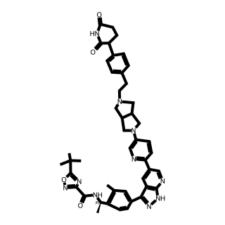 Cc1cc(-c2n[nH]c3ncc(-c4ccc(N5CC6CN(CCc7ccc(C8CCC(=O)NC8=O)cc7)CC6C5)cn4)cc23)ccc1[C@@H](C)NC(=O)c1noc(C(C)(C)C)n1